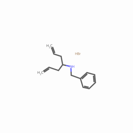 Br.C=CCC(CC=C)NCc1ccccc1